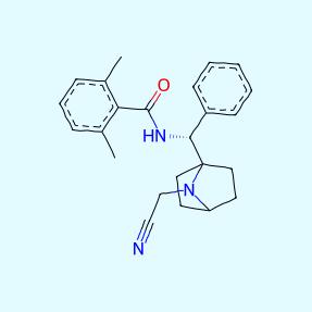 Cc1cccc(C)c1C(=O)N[C@H](c1ccccc1)C12CCC(CC1)N2CC#N